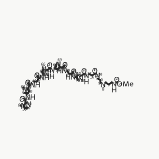 COC(=O)NCCCN(C)CCCN(C)C(=O)CCNC(=O)c1nc(NC(=O)CCNC(=O)c2cc(NC(=O)c3nc(NC(=O)CCNC(=O)c4cc(NC(=O)c5nccn5C)cn4C)cn3C)cn2C)cn1C